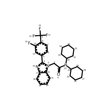 O=C(Cn1c(-c2ccc(C(F)(F)F)c(F)c2)nc2ccccc21)N(C1CCCCC1)C1CCCCC1